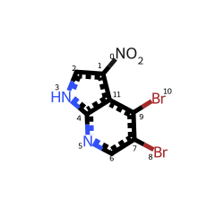 O=[N+]([O-])c1c[nH]c2ncc(Br)c(Br)c12